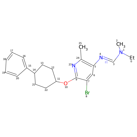 CCN(C)/C=N/c1cc(Br)c(OC2CCC(c3ccccc3)CC2)nc1C